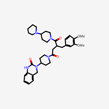 COc1ccc(CC(CC(=O)N2CCC(N3Cc4ccccc4NC3=O)CC2)C(=O)N2CCC(N3CCCCC3)CC2)cc1OC